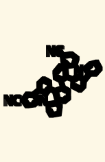 N#Cc1ccc(-n2c3ccccc3c3cccc(-c4ccccc4-c4ccccc4-c4cccc5c6cc(C#N)ccc6n(C6=CCCC=C6)c45)c32)cc1